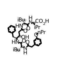 CCCOc1cccc(CC(=O)N[C@H](C(=O)N[C@@H](Cc2ccccc2)[C@@H](O)CC(=O)N[C@H](C(=O)N[C@H](C(=O)O)C(C)C)[C@@H](C)CC)[C@@H](C)CC)c1